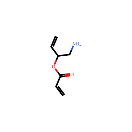 C=CC(=O)OC(C=C)CN